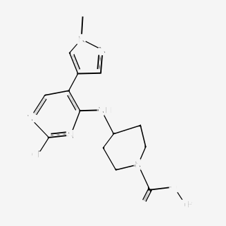 Cn1cc(-c2cnc(Cl)nc2NC2CCN(C(=O)OC(C)(C)C)CC2)cn1